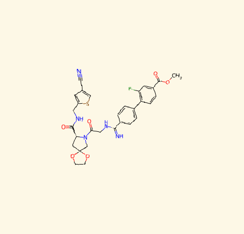 COC(=O)c1ccc(-c2ccc(C(=N)NCC(=O)N3CC4(C[C@H]3C(=O)NCc3cc(C#N)cs3)OCCO4)cc2)c(F)c1